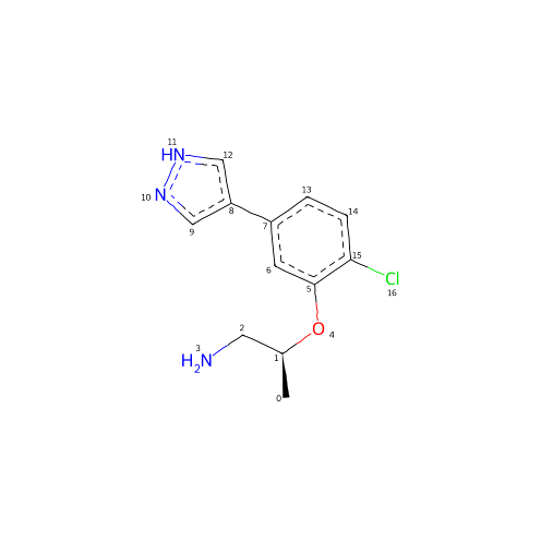 C[C@@H](CN)Oc1cc(-c2cn[nH]c2)ccc1Cl